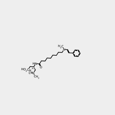 CN(C)C[C@@H](CC(=O)O)NC(=O)CCCCCCCCN(C)C=Cc1ccccc1